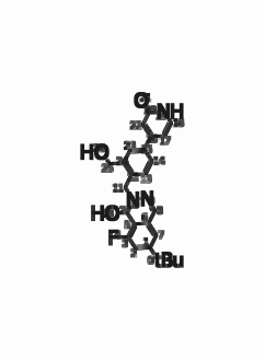 CC(C)(C)c1cc(F)c2c(c1)C=NN(Cc1ccc(-c3cc[nH]c(=O)c3)cc1CO)C2O